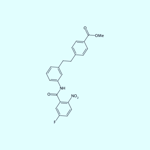 COC(=O)c1ccc(CCc2cccc(NC(=O)c3cc(F)ccc3[N+](=O)[O-])c2)cc1